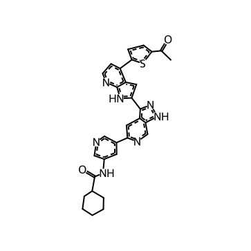 CC(=O)c1ccc(-c2ccnc3[nH]c(-c4n[nH]c5cnc(-c6cncc(NC(=O)C7CCCCC7)c6)cc45)cc23)s1